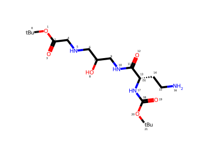 CC(C)(C)OC(=O)CNCC(O)CNC(=O)[C@H](CCN)NC(=O)OC(C)(C)C